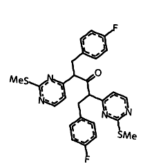 CSc1nccc(C(Cc2ccc(F)cc2)C(=O)C(Cc2ccc(F)cc2)c2ccnc(SC)n2)n1